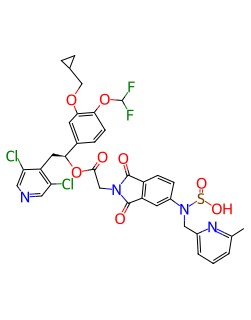 Cc1cccc(CN(c2ccc3c(c2)C(=O)N(CC(=O)O[C@@H](Cc2c(Cl)cncc2Cl)c2ccc(OC(F)F)c(OCC4CC4)c2)C3=O)S(=O)O)n1